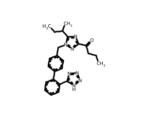 CCCC(=O)c1nc(C(C)CC)n(Cc2ccc(-c3ccccc3-c3nnn[nH]3)cc2)n1